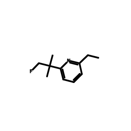 CCc1cccc(C(C)(C)CF)n1